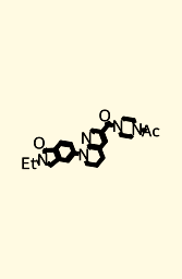 CCN1Cc2cc(N3CCCc4cc(C(=O)N5CCN(C(C)=O)CC5)cnc43)ccc2C1=O